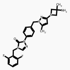 Cc1cc(N2CC(C)(N)C2)nn1Cc1ccc(-n2ncn(Cc3c(F)cccc3F)c2=O)cc1